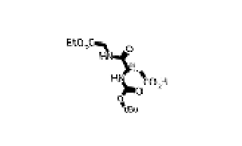 CCOC(=O)CNC(=O)[C@H](CC(=O)O)NC(=O)OC(C)(C)C